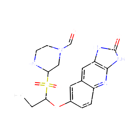 CCC(Oc1ccc2nc3[nH]c(=O)[nH]c3cc2c1)S(=O)(=O)C1CN(C=O)CCN1